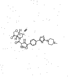 C#C[C@@H]1CN(C(=O)C(NC(=O)c2ccc(-c3csc(N4CCN(C)CC4)n3)cc2)C(C)(C)C)[C@@H]2C(=O)CO[C@H]12